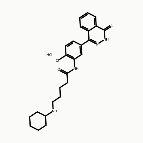 Cl.O=C(CCCCNC1CCCCC1)Nc1cc(-c2n[nH]c(=O)c3ccccc23)ccc1Cl